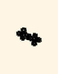 O=S(=O)(c1ccc(-n2c3ccccc3c3c4ccccc4n(-c4ccccc4)c32)cc1)c1ccc(-n2c3ccccc3c3c4ccccc4n(-c4ccccc4)c32)cc1